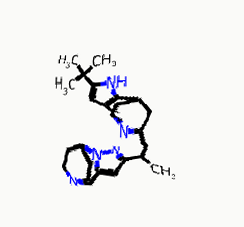 CC(CC1CC2CCN1Cc1cc(C(C)(C)C)[nH]c12)c1cc2n(n1)C1CCN(CC1)C2